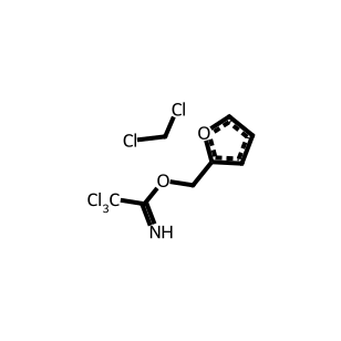 ClCCl.N=C(OCc1ccco1)C(Cl)(Cl)Cl